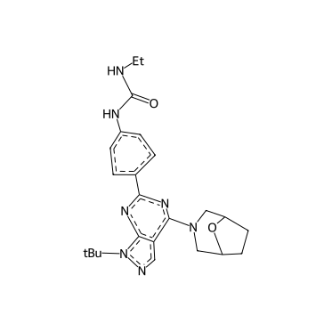 CCNC(=O)Nc1ccc(-c2nc(N3CC4CCC(C3)O4)c3cnn(C(C)(C)C)c3n2)cc1